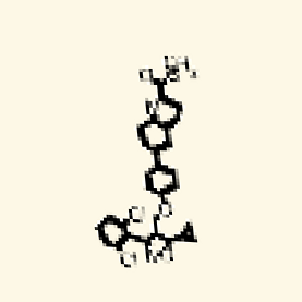 COC(=O)c1ccc2cc(-c3ccc(OCC4C(c5c(Cl)cccc5Cl)=NOC4C4CC4)cc3)ccc2n1